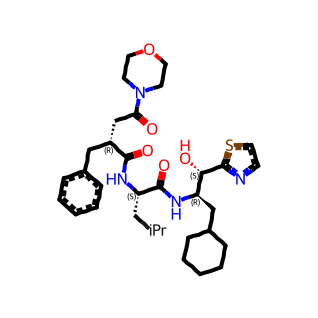 CC(C)C[C@H](NC(=O)[C@@H](CC(=O)N1CCOCC1)Cc1ccccc1)C(=O)N[C@H](CC1CCCCC1)[C@H](O)c1nccs1